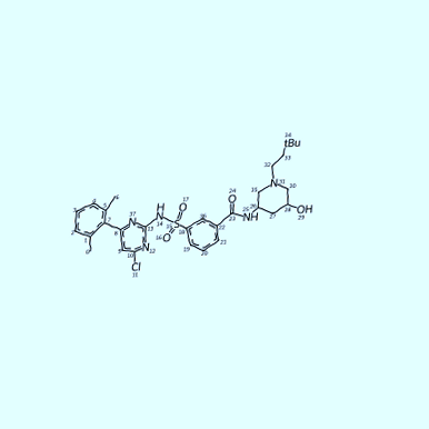 Cc1cccc(C)c1-c1cc(Cl)nc(NS(=O)(=O)c2cccc(C(=O)NC3CC(O)CN(CCC(C)(C)C)C3)c2)n1